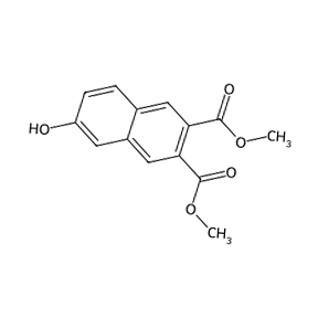 COC(=O)c1cc2ccc(O)cc2cc1C(=O)OC